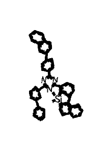 C[Si]1(C)c2ccc3ccccc3c2-c2cccc(-c3nc(-c4ccc(-c5ccc6ccccc6c5)cc4)nc(-c4cccc(-c5ccccc5)c4)n3)c21